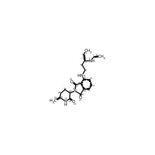 C=CN/C(=C\C)CCNc1cccc2c1C(=O)N(C1CCC(=C)NC1=O)C2=O